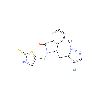 Cn1ncc(Cl)c1CC1c2ccccc2C(=O)N1Cc1c[nH]c(=S)s1